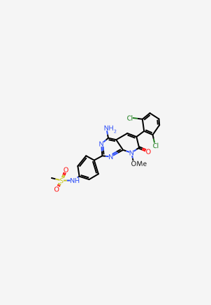 COn1c(=O)c(-c2c(Cl)cccc2Cl)cc2c(N)nc(-c3ccc(NS(C)(=O)=O)cc3)nc21